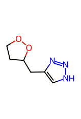 c1[nH]nnc1CC1CCOO1